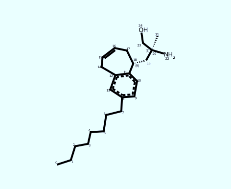 CCCCCCCCc1ccc2c(c1)CC=CC[C@@H]2C[C@](C)(N)CO